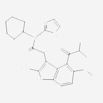 COc1ccc2[nH]c(C)c(CC(=O)N(c3nccs3)C3CCCCC3)c2c1C(=O)C(C)C